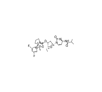 CC[C@H]1O[C@@H](n2ccc(NC(=O)C(C)C)nc2=O)CC1O[P@@]1O[C@](C)(c2cc(F)cc(F)c2)[C@@H]2CCCN21